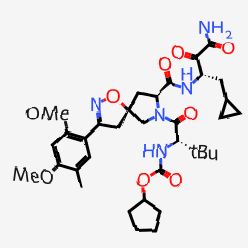 COc1cc(OC)c(C2=NO[C@]3(C2)C[C@@H](C(=O)N[C@@H](CC2CC2)C(=O)C(N)=O)N(C(=O)[C@@H](NC(=O)OC2CCCC2)C(C)(C)C)C3)cc1C